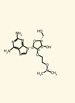 CN(C)OCCO[C@@H]1[C@H](O)[C@@H](CO)O[C@H]1n1cnc2c(N)nc(N)nc21